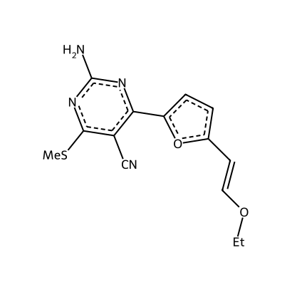 CCOC=Cc1ccc(-c2nc(N)nc(SC)c2C#N)o1